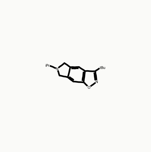 CC(C)N1Cc2cc3onc(C(C)(C)C)c3cc2C1